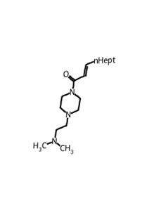 CCCCCCC/C=C/C(=O)N1CCN(CCN(C)C)CC1